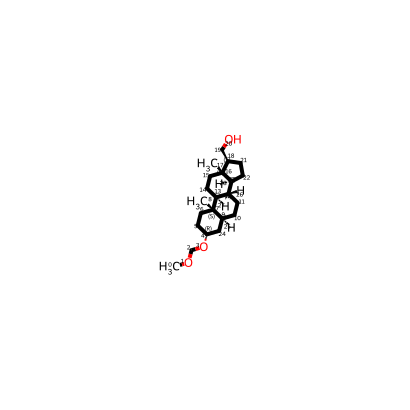 COCO[C@@H]1CC[C@@]2(C)[C@@H](CC[C@@H]3[C@@H]2CC[C@]2(C)[C@@H](CO)CC[C@@H]32)C1